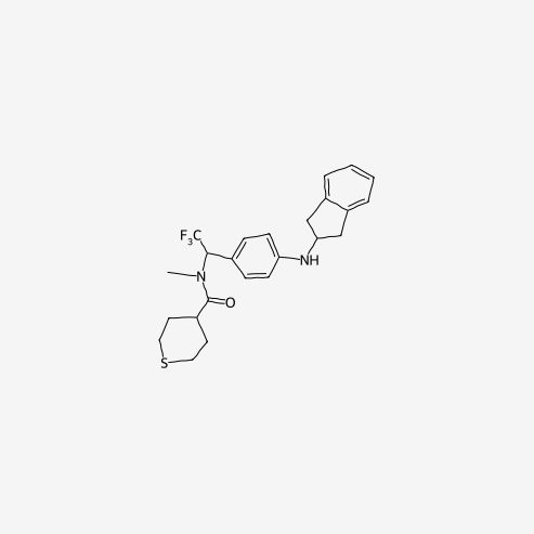 CN(C(=O)C1CCSCC1)C(c1ccc(NC2Cc3ccccc3C2)cc1)C(F)(F)F